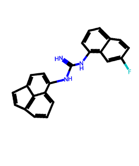 N=C(Nc1cccc2ccc(F)cc12)Nc1ccc2c3c(cccc13)C=C2